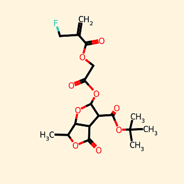 C=C(CF)C(=O)OCC(=O)OC1OC2C(C)OC(=O)C2C1C(=O)OC(C)(C)C